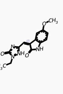 CCn1[nH]c(/C=C2\C(=O)Nc3ccc(OC)cc32)nc1=O